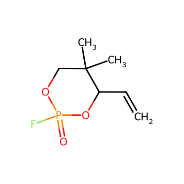 C=CC1OP(=O)(F)OCC1(C)C